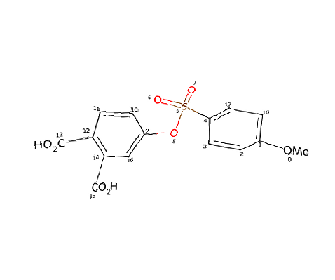 COc1ccc(S(=O)(=O)Oc2ccc(C(=O)O)c(C(=O)O)c2)cc1